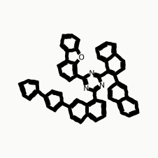 c1ccc(-c2ccc(-c3ccc4cccc(-c5nc(-c6c(-c7ccc8ccccc8c7)ccc7ccccc67)nc(-c6cccc7c6oc6ccccc67)n5)c4c3)cc2)cc1